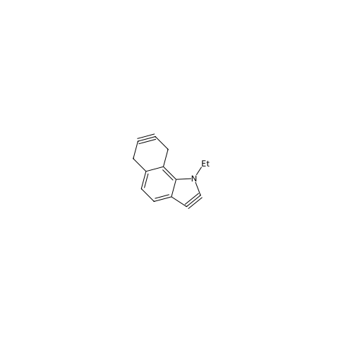 CCn1c#cc2ccc3c(c21)CC#CC3